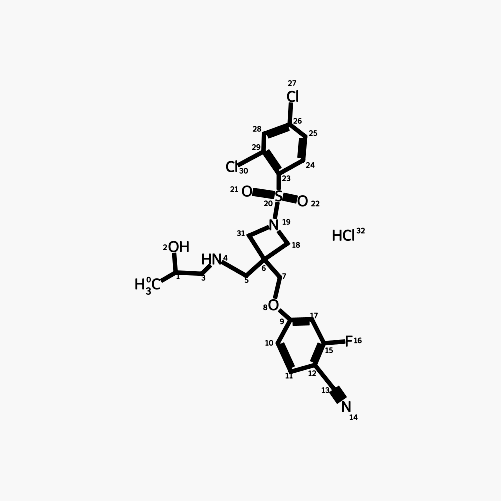 CC(O)CNCC1(COc2ccc(C#N)c(F)c2)CN(S(=O)(=O)c2ccc(Cl)cc2Cl)C1.Cl